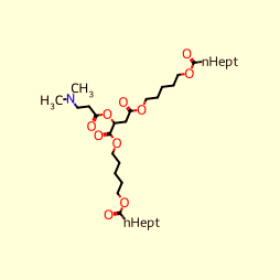 CCCCCCCC(=O)OCCCCCOC(=O)CC(OC(=O)CCN(C)C)C(=O)OCCCCCOC(=O)CCCCCCC